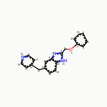 c1ccc(OCc2nc3cc(Cc4ccncc4)ccc3[nH]2)cc1